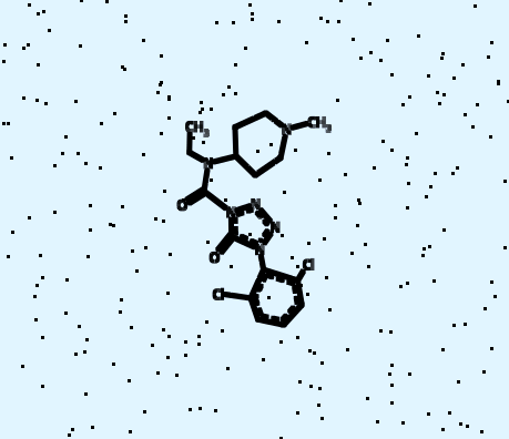 CCN(C(=O)n1nnn(-c2c(Cl)cccc2Cl)c1=O)C1CCN(C)CC1